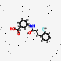 O=C(CCc1ccccc1F)Nc1cccc(C(=O)O)c1